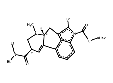 CCCCCCOC(=O)n1c(Br)c2c3c(cccc31)C1=C[C@@H](C(=O)N(CC)CC)CN(C)[C@@H]1C2